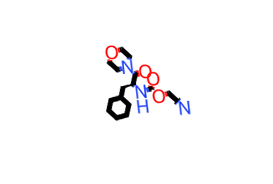 N#CCOC(=O)N[C@@H](CC1CCCCC1)C(=O)N1CCOCC1